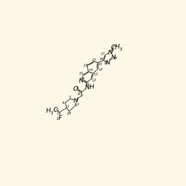 C[C@H](F)C1CCN(CC(=O)Nc2cc3cc(-c4cn(C)nn4)ccc3cn2)CC1